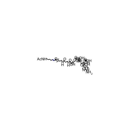 CC(=O)NCCCC/C=C/C(=O)SSCCNC(=O)CCNC(=O)[C@H](O)C(C)(C)COP(=O)(O)OP(=O)(O)OC[C@H]1O[C@@H](n2cnc3c(N)ncnc32)[C@H](O)[C@@H]1OP(=O)(O)O